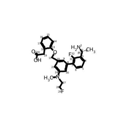 C[C@@H](N)c1cccc(-c2cc(COc3ccccc3CC(=O)O)cc(N(C)CCF)c2)c1F